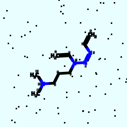 C=C/N=N\N(C=C)CCCN(C)C